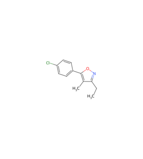 CCc1noc(-c2ccc(Cl)cc2)c1C